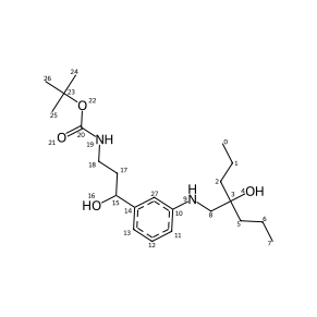 CCCC(O)(CCC)CNc1cccc(C(O)CCNC(=O)OC(C)(C)C)c1